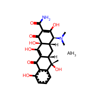 CN(C)[C@@H]1C(O)=C(C(N)=O)C(=O)[C@@]2(O)C(O)=C3C(=O)c4c(O)cccc4[C@@](C)(O)[C@H]3C[C@@H]12.[AlH3]